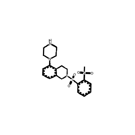 CS(=O)(=O)c1ccccc1S(=O)(=O)N1CCc2c(cccc2N2CCNCC2)C1